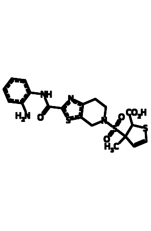 CC1(S(=O)(=O)N2CCc3nc(C(=O)Nc4ccccc4N)sc3C2)C=CSC1C(=O)O